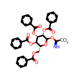 N=C(OC1O[C@H](COC(=O)c2ccccc2)[C@@H](OC(=O)c2ccccc2)[C@H](OC(=O)c2ccccc2)[C@@H]1OC(=O)c1ccccc1)C(Cl)(Cl)Cl